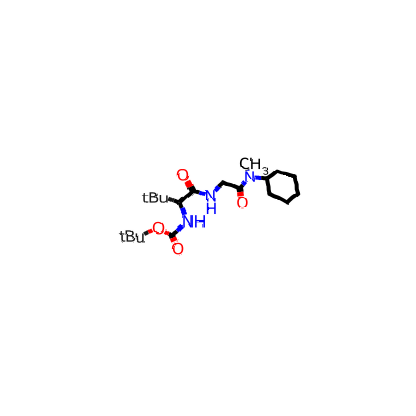 CN(C(=O)CNC(=O)C(NC(=O)OC(C)(C)C)C(C)(C)C)C1CCCCC1